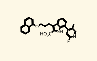 Cc1cnc(F)cc1-c1cccc2c(CCCOc3cccc4ccccc34)c(C(=O)O)[nH]c12